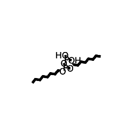 CCCCCCCCOP(OCCCCCCCC)OP(O)O